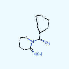 N=C1CCCCN1C(=N)C1CCCCC1